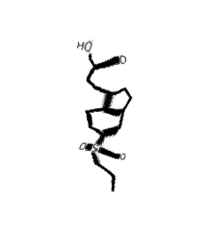 CCCS(=O)(=O)c1ccc2c(c1)CCC2CC(=O)O